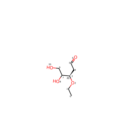 CCO[C@H](CC=O)C(O)CO